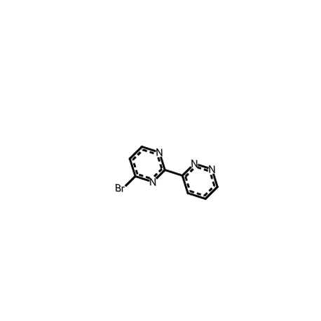 Brc1ccnc(-c2cccnn2)n1